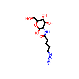 [N-]=[N+]=NCCCCC(=O)N[C@@H]1C(O)OC(CO)[C@@H](O)C1O